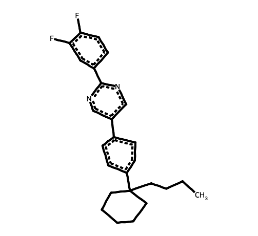 CCCCC1(c2ccc(-c3cnc(-c4ccc(F)c(F)c4)nc3)cc2)CCCCC1